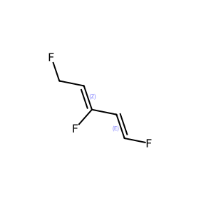 F/C=C/C(F)=C/CF